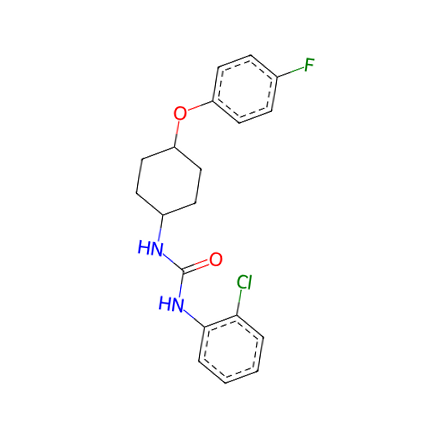 O=C(Nc1ccccc1Cl)NC1CCC(Oc2ccc(F)cc2)CC1